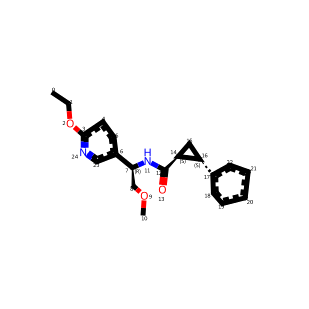 CCOc1ccc([C@H](COC)NC(=O)[C@H]2C[C@@H]2c2ccccc2)cn1